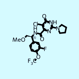 COC[C@@H](NC(=O)c1nc(N2CCCC2)[nH]c(=O)c1Cl)c1ccc(OC(F)(F)F)c(F)c1